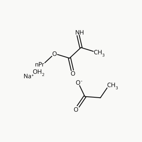 CCC(=O)[O-].CCCOC(=O)C(C)=N.O.[Na+]